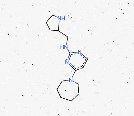 c1cc(N2CCCCCC2)nc(NCC2CCCN2)n1